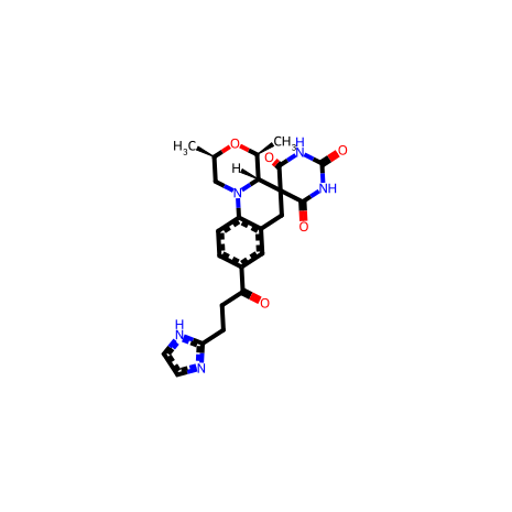 C[C@@H]1CN2c3ccc(C(=O)CCc4ncc[nH]4)cc3CC3(C(=O)NC(=O)NC3=O)[C@H]2[C@H](C)O1